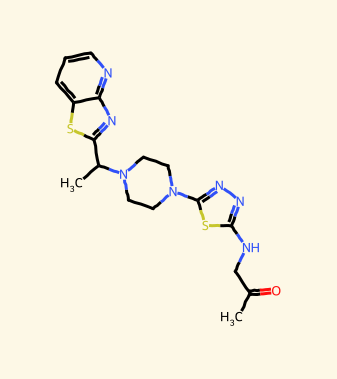 CC(=O)CNc1nnc(N2CCN(C(C)c3nc4ncccc4s3)CC2)s1